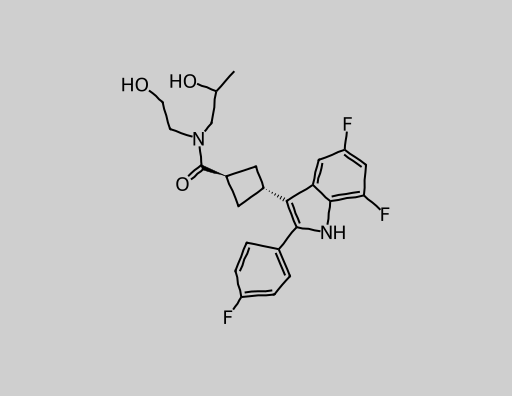 CC(O)CN(CCO)C(=O)[C@H]1C[C@H](c2c(-c3ccc(F)cc3)[nH]c3c(F)cc(F)cc32)C1